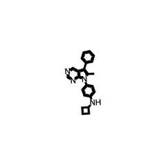 Cc1c(-c2ccccc2)c2cncnc2n1-c1ccc(NC2CCC2)cc1